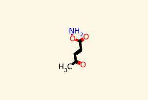 CC(=O)/C=C/C(=O)ON